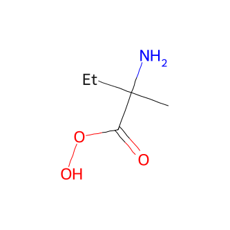 CCC(C)(N)C(=O)OO